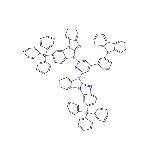 c1ccc([Si](c2ccccc2)(c2ccccc2)c2ccc3nc4n(-c5cc(-c6cccc(-n7c8ccccc8c8ccccc87)c6)cc(-n6c7ccc([Si](c8ccccc8)(c8ccccc8)c8ccccc8)cc7n7c8ccccc8nc67)n5)c5ccccc5n4c3c2)cc1